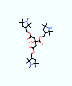 CN1C(C)(C)CC(COC(=O)CC(O)(CC(=O)OCC2CC(C)(C)N(C)C2(C)C)C(=O)OCC2CC(C)(C)NC2(C)C)C1(C)C